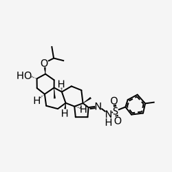 Cc1ccc(S(=O)(=O)N/N=C2\CC[C@H]3[C@@H]4CC[C@H]5C[C@H](O)[C@@H](OC(C)C)C[C@]5(C)[C@H]4CC[C@]23C)cc1